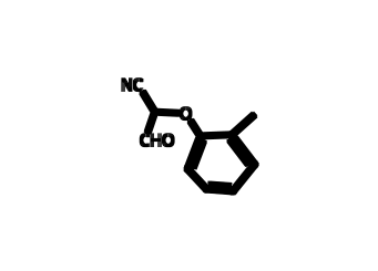 Cc1ccccc1OC(C#N)C=O